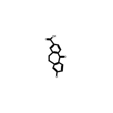 O=C(O)c1ccc2c(c1)CCc1cc(Cl)ccc1C2=O